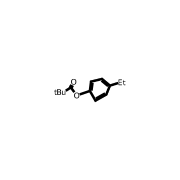 CCc1ccc(OC(=O)C(C)(C)C)cc1